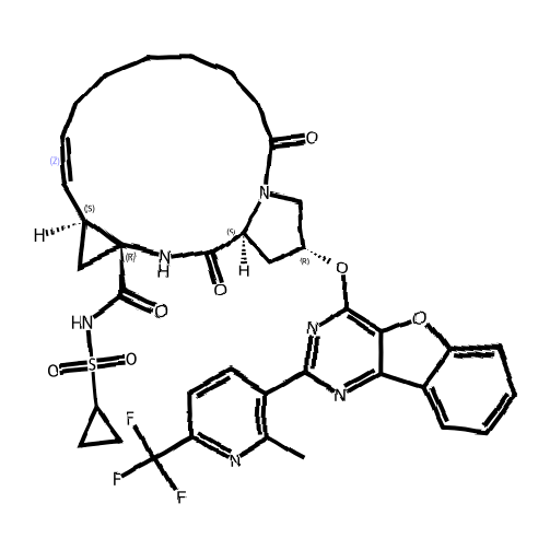 Cc1nc(C(F)(F)F)ccc1-c1nc(O[C@@H]2C[C@H]3C(=O)N[C@]4(C(=O)NS(=O)(=O)C5CC5)C[C@H]4/C=C\CCCCCCC(=O)N3C2)c2oc3ccccc3c2n1